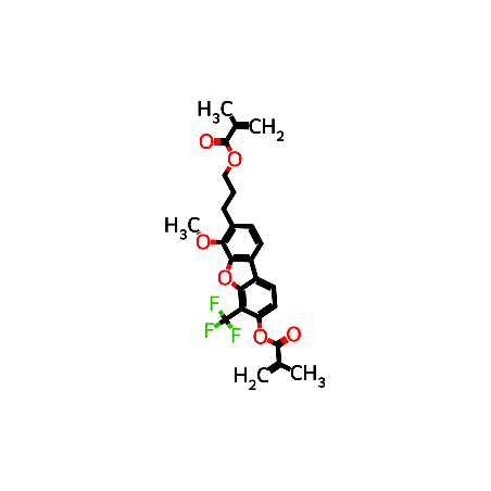 C=C(C)C(=O)OCCCc1ccc2c(oc3c(C(F)(F)F)c(OC(=O)C(=C)C)ccc32)c1OC